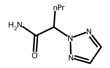 CCCC(C(N)=O)n1nccn1